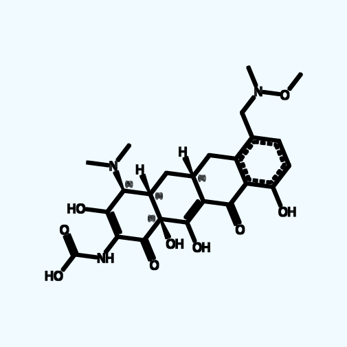 CON(C)Cc1ccc(O)c2c1C[C@H]1C[C@H]3[C@H](N(C)C)C(O)=C(NC(=O)O)C(=O)[C@@]3(O)C(O)=C1C2=O